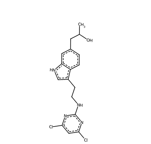 CC(O)Cc1ccc2c(CCNc3nc(Cl)cc(Cl)n3)c[nH]c2c1